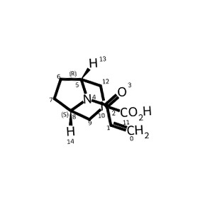 C=CC(=O)N1[C@@H]2CC[C@H]1CN(C(=O)O)C2